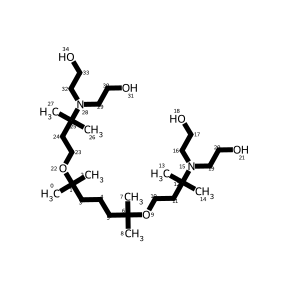 CC(C)(CCCC(C)(C)OCCC(C)(C)N(CCO)CCO)OCCC(C)(C)N(CCO)CCO